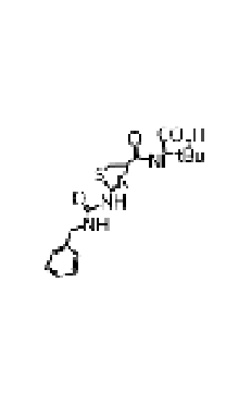 CC(C)(C)C(NC(=O)c1csc(NC(=O)NCc2ccccc2)n1)C(=O)O